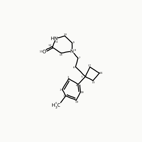 Cc1ccc(C2(CCN3CCNC(=O)C3)CCC2)cc1